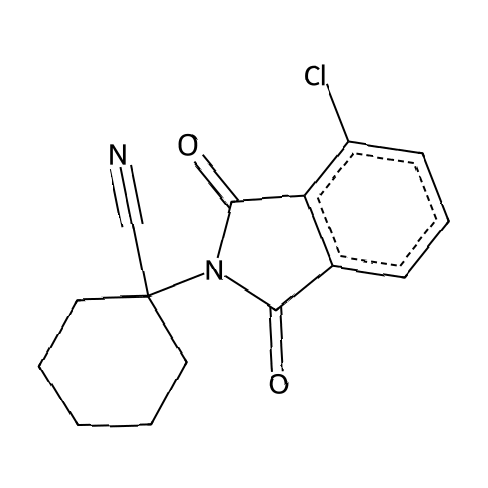 N#CC1(N2C(=O)c3cccc(Cl)c3C2=O)CCCCC1